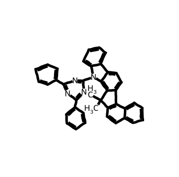 CC1(C)c2ccc3ccccc3c2-c2ccc3c4ccccc4n(-c4nc(-c5ccccc5)nc(-c5ccccc5)n4)c3c21